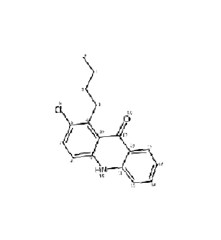 CCCCc1c(Cl)ccc2[nH]c3ccccc3c(=O)c12